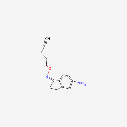 C#CCCCO/N=C1/CCc2cc(N)ccc21